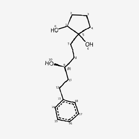 O[C]1CCCC1(O)CC[C@H](O)CCc1ccccc1